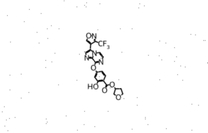 O=C(OC1CCOC1)c1ccc(Oc2nccn3c(-c4conc4C(F)(F)F)cnc23)cc1O